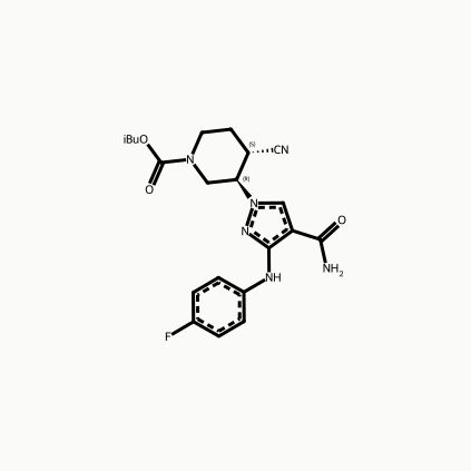 CC(C)COC(=O)N1CC[C@H](C#N)[C@@H](n2cc(C(N)=O)c(Nc3ccc(F)cc3)n2)C1